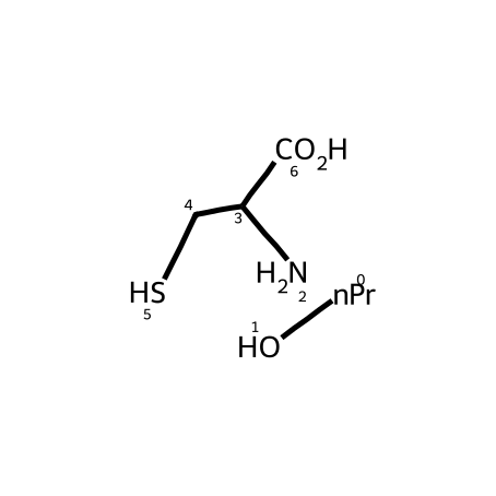 CCCO.NC(CS)C(=O)O